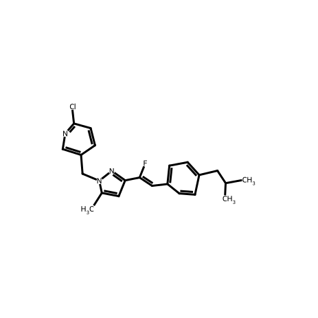 Cc1cc(C(F)=Cc2ccc(CC(C)C)cc2)nn1Cc1ccc(Cl)nc1